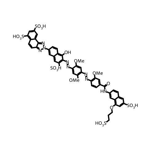 COc1cc(C(=O)Nc2ccc3cc(S(=O)(=O)O)cc(OCCCS(=O)(=O)O)c3c2)ccc1N=Nc1cc(OC)c(N=Nc2c(S(=O)(=O)O)cc3cc(-n4nc5ccc6c(S(=O)(=O)O)cc(S(=O)(=O)O)cc6c5n4)ccc3c2O)cc1OC